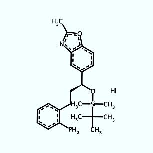 Cc1nc2cc([C@H](CCc3ccccc3P)O[Si](C)(C)C(C)(C)C)ccc2o1.I